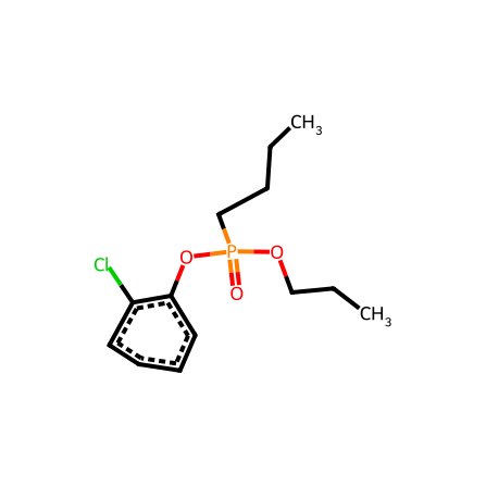 CCCCP(=O)(OCCC)Oc1ccccc1Cl